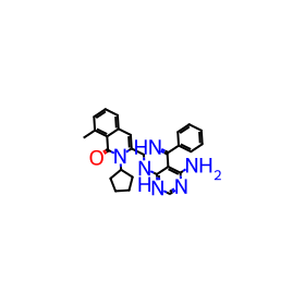 Cc1cccc2cc(CNc3ncnc(N)c3C(=N)c3ccccc3)n(C3CCCC3)c(=O)c12